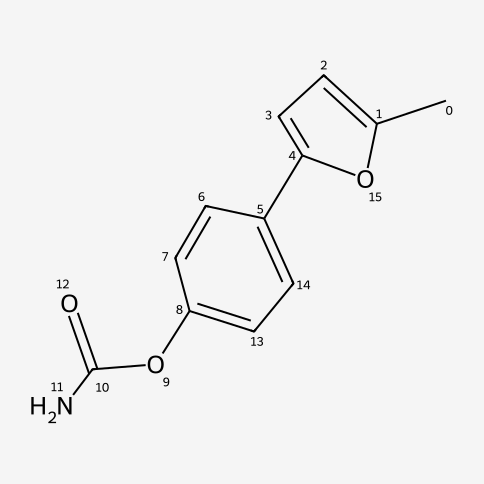 Cc1ccc(-c2ccc(OC(N)=O)cc2)o1